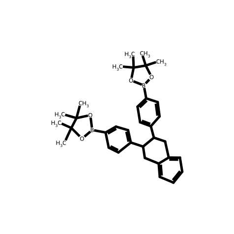 CC1(C)OB(c2ccc(C3Cc4ccccc4CC3c3ccc(B4OC(C)(C)C(C)(C)O4)cc3)cc2)OC1(C)C